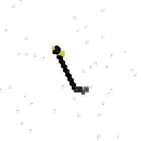 O=C(O)CCCCCCCCCCCCCCCS.c1ccsc1